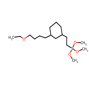 CCOCCCCC1CCCC(CC[Si](OC)(OC)OC)C1